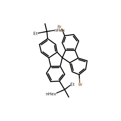 CCCCCCC(C)(CC)c1ccc2c(c1)C1(c3cc(Br)ccc3-c3ccc(Br)cc31)c1cc(C(C)(CC)CCCCCC)ccc1-2